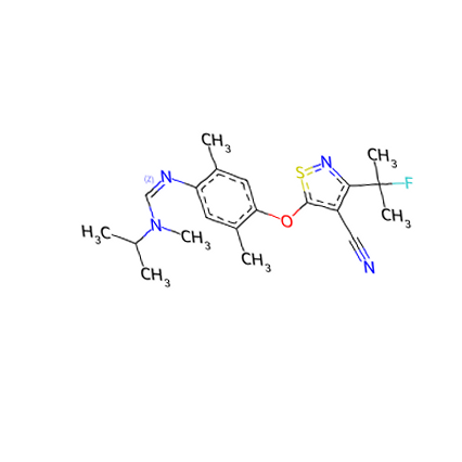 Cc1cc(Oc2snc(C(C)(C)F)c2C#N)c(C)cc1/N=C\N(C)C(C)C